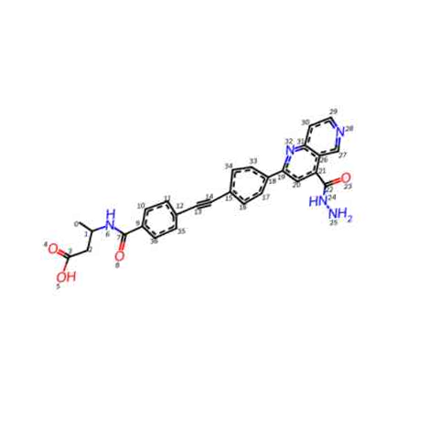 CC(CC(=O)O)NC(=O)c1ccc(C#Cc2ccc(-c3cc(C(=O)NN)c4cnccc4n3)cc2)cc1